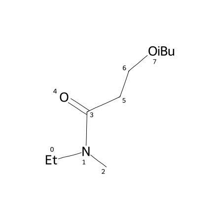 CCN(C)C(=O)CCOCC(C)C